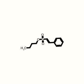 CCCCOS(=O)(=O)C=Cc1ccccc1